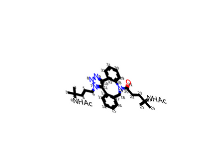 CC(=O)NC(C)(C)CCCn1nnc2c1-c1ccccc1CN(C(=O)CCC(C)(C)NC(C)=O)c1ccccc1-2